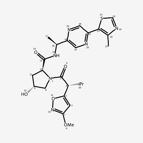 COc1cc([C@H](C(=O)N2C[C@H](O)C[C@H]2C(=O)N[C@@H](C)c2cnc(-c3scnc3C)cn2)C(C)C)on1